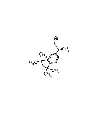 C=C(CBr)c1ccc2c(c1)C(C)(C)CC2(C)C